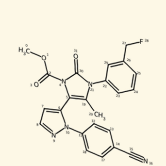 COC(=O)n1c(-c2ccnn2-c2ccc(C#N)cc2)c(C)n(-c2cccc(CF)c2)c1=O